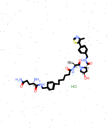 Cc1ncsc1-c1ccc(CNC(=O)[C@@H]2C[C@@H](O)CN2C(=O)[C@@H](NC(=O)CCCCCc2ccc(CNC(=O)[C@@H](N)CCC(N)=O)cc2)C(C)(C)C)cc1.Cl